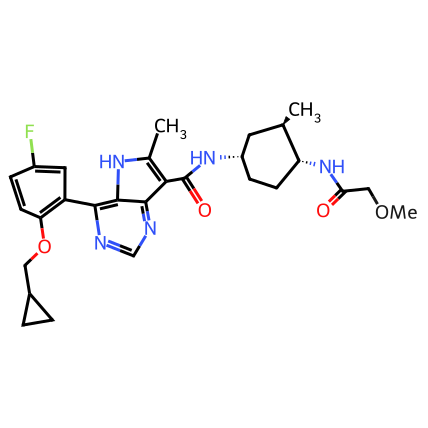 COCC(=O)N[C@@H]1CC[C@H](NC(=O)c2c(C)[nH]c3c(-c4cc(F)ccc4OCC4CC4)ncnc23)C[C@H]1C